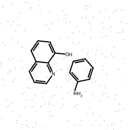 Oc1cccc2cccnc12.[InH2][c]1ccccc1